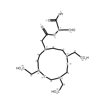 CCCC(=O)N(C=O)OC(=O)CN1CCN(CC(=O)O)CCN(CC(=O)O)CCN(CC(=O)O)CC1